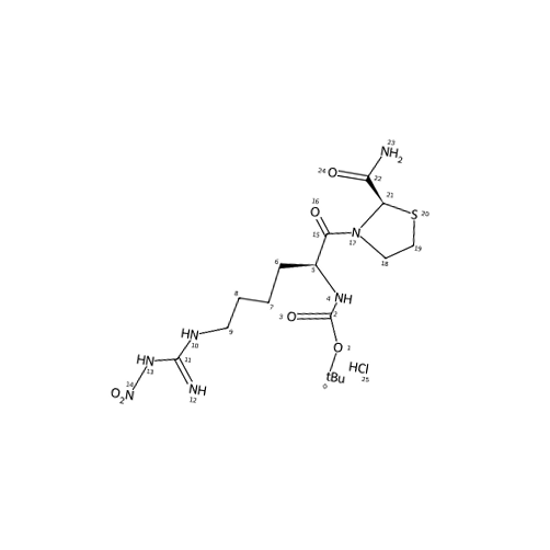 CC(C)(C)OC(=O)N[C@@H](CCCCNC(=N)N[N+](=O)[O-])C(=O)N1CCS[C@@H]1C(N)=O.Cl